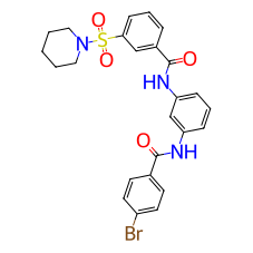 O=C(Nc1cccc(NC(=O)c2cccc(S(=O)(=O)N3CCCCC3)c2)c1)c1ccc(Br)cc1